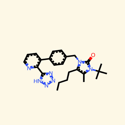 CCCCc1c(C)n(C(C)(C)C)c(=O)n1Cc1ccc(-c2cccnc2-c2nnn[nH]2)cc1